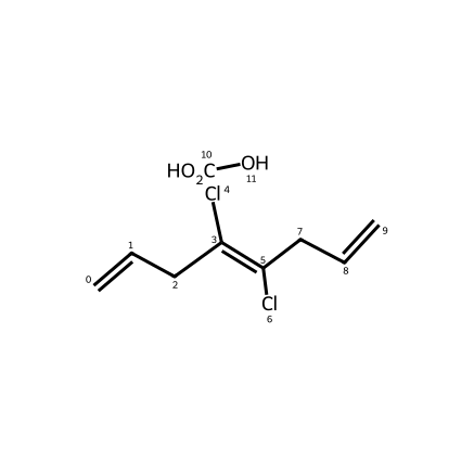 C=CCC(Cl)=C(Cl)CC=C.O=C(O)O